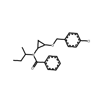 CCC(C)N(C(=O)c1ccccc1)C1CC1OCc1ccc(Cl)cc1